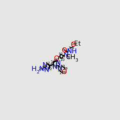 CCOCCNC(=O)N(C)[C@H]1C[C@H](Oc2cc(-c3cnc(N)nc3)nc(N3CCOCC3)n2)C1